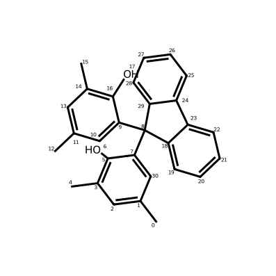 Cc1cc(C)c(O)c(C2(c3cc(C)cc(C)c3O)c3ccccc3-c3ccccc32)c1